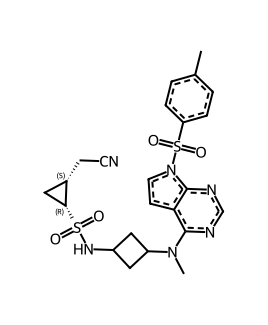 Cc1ccc(S(=O)(=O)n2ccc3c(N(C)C4CC(NS(=O)(=O)[C@@H]5C[C@@H]5CC#N)C4)ncnc32)cc1